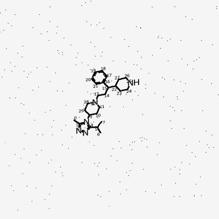 Cc1nnc(C(C)C)n1C1CCN(CCC(c2ccccc2)C2CCNCC2)CC1